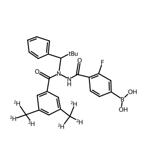 [2H]C([2H])([2H])c1cc(C(=O)N(NC(=O)c2ccc(B(O)O)cc2F)C(c2ccccc2)C(C)(C)C)cc(C([2H])([2H])[2H])c1